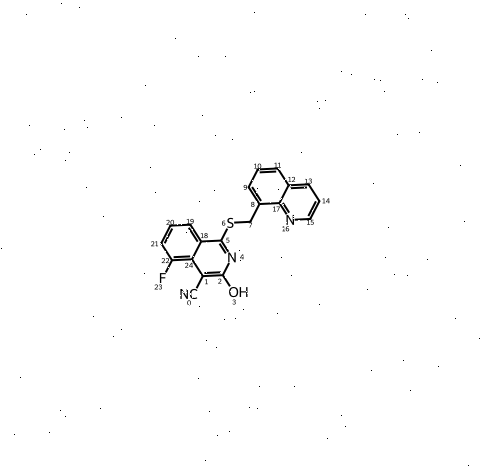 N#Cc1c(O)nc(SCc2cccc3cccnc23)c2cccc(F)c12